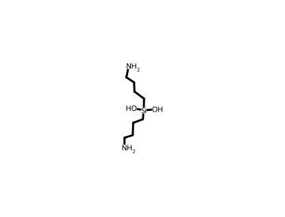 NCCCC[Si](O)(O)CCCCN